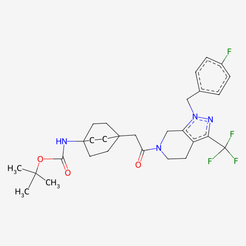 CC(C)(C)OC(=O)NC12CCC(CC(=O)N3CCc4c(C(F)(F)F)nn(Cc5ccc(F)cc5)c4C3)(CC1)CC2